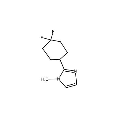 Cn1ccnc1C1CCC(F)(F)CC1